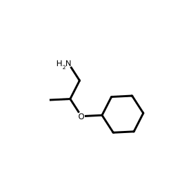 CC(CN)OC1CCCCC1